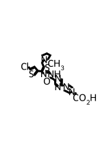 CC1CCCN1Cc1sc(NC(=O)c2cnc(N3CCN(CC(=O)O)CC3)cn2)nc1-c1csc(Cl)c1